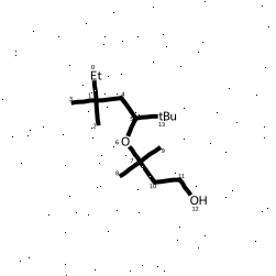 CCC(C)(C)CC(OC(C)(C)CCO)C(C)(C)C